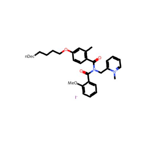 CCCCCCCCCCCCCCOc1ccc(C(=O)N(Cc2cccc[n+]2C)C(=O)c2ccccc2OC)c(C)c1.[I-]